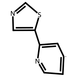 [c]1ccnc(-c2cncs2)c1